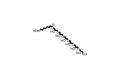 CCCCCCCCCCCCCCCCCC(=O)OCC(O)COCC(O)COCC(O)COCC(O)COCC(O)COCC(O)CO